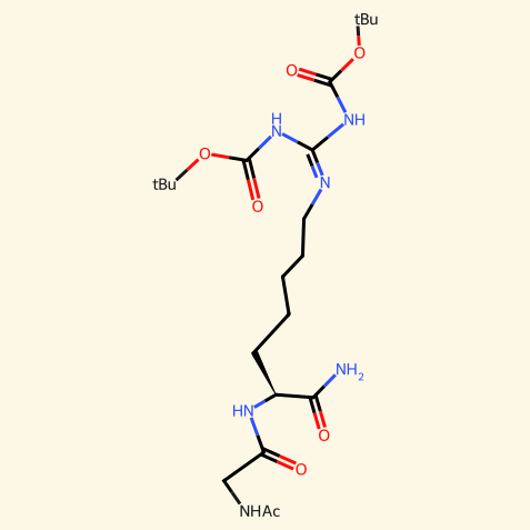 CC(=O)NCC(=O)N[C@@H](CCCCCN=C(NC(=O)OC(C)(C)C)NC(=O)OC(C)(C)C)C(N)=O